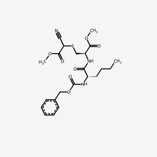 CCCC[C@H](NC(=O)OCc1ccccc1)C(=O)N[C@@H](CSC(C#N)C(=O)OC)C(=O)OC